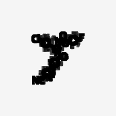 CN(C(=O)Oc1ccc(F)cc1)C1CN(C(=O)C2CCN(c3ccc(C#N)nn3)CC2)CC1c1ccc(Cl)cc1